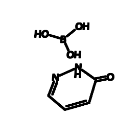 O=c1cccn[nH]1.OB(O)O